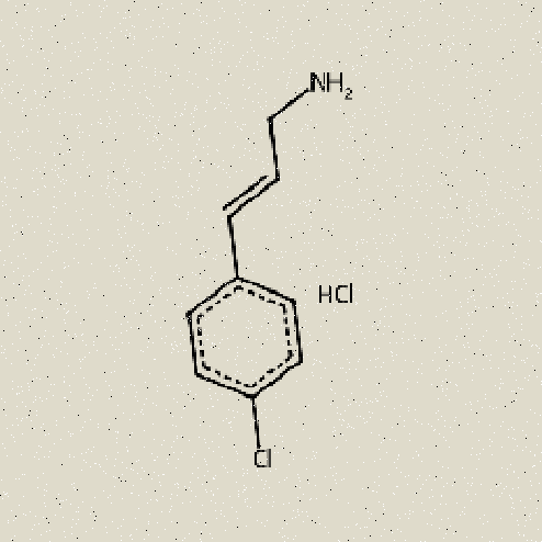 Cl.NC/C=C/c1ccc(Cl)cc1